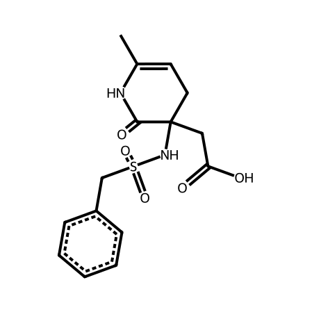 CC1=CCC(CC(=O)O)(NS(=O)(=O)Cc2ccccc2)C(=O)N1